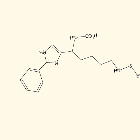 CCSNCCCCC(NC(=O)O)c1c[nH]c(-c2ccccc2)n1